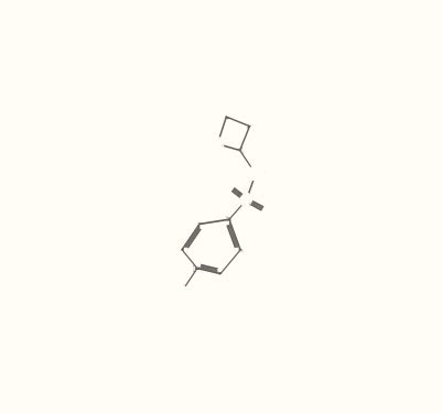 Cc1ccc(S(=O)(=O)OC2CCO2)cc1